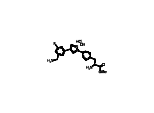 COC(=O)C(N)Cc1ccc(-n2cc(-c3cc(F)cc(CN)c3)cn2)cc1.Cl.Cl